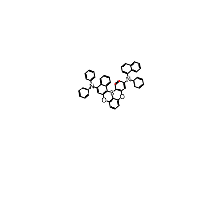 c1ccc(N(c2ccccc2)c2cc3c(c4ccccc24)B2c4c(cccc4Oc4cc(N(c5ccccc5)c5cccc6ccccc56)c5ccccc5c42)O3)cc1